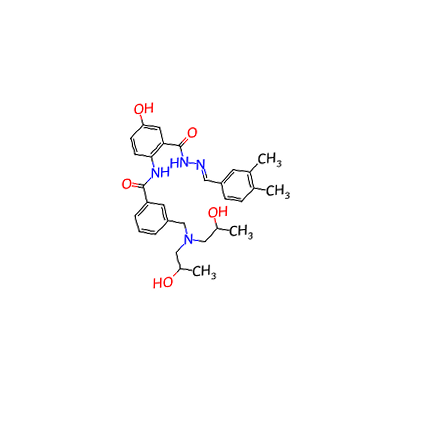 Cc1ccc(C=NNC(=O)c2cc(O)ccc2NC(=O)c2cccc(CN(CC(C)O)CC(C)O)c2)cc1C